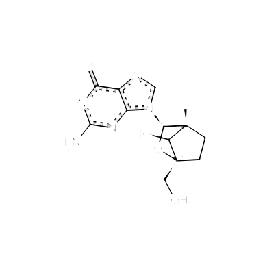 Nc1nc2c(ncn2[C@@H]2O[C@@]3(CO)CC[C@@H]2C3O)c(=O)[nH]1